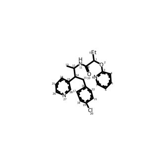 CCC(Oc1ccccn1)C(=O)NC(C)C(Cc1ccc(Cl)cc1)c1cccnc1